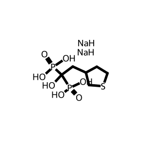 O=P(O)(O)C(O)(CC1CCSC1)P(=O)(O)O.[NaH].[NaH]